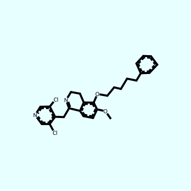 COc1ccc2c(c1OCCCCCc1ccccc1)CCN=C2Cc1c(Cl)cncc1Cl